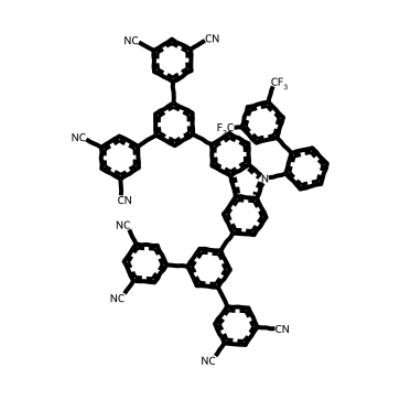 N#Cc1cc(C#N)cc(-c2cc(-c3cc(C#N)cc(C#N)c3)cc(-c3ccc4c(c3)c3cc(-c5cc(-c6cc(C#N)cc(C#N)c6)cc(-c6cc(C#N)cc(C#N)c6)c5)ccc3n4-c3ccccc3-c3cc(C(F)(F)F)cc(C(F)(F)F)c3)c2)c1